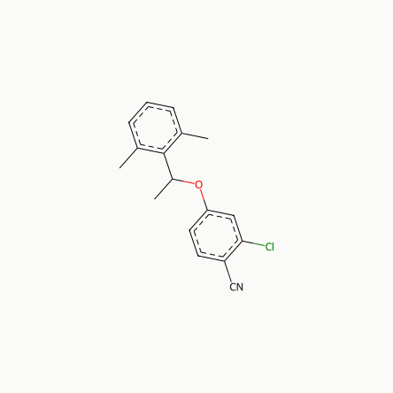 Cc1cccc(C)c1C(C)Oc1ccc(C#N)c(Cl)c1